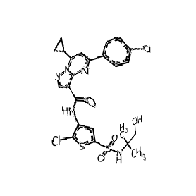 CC(C)(CO)NS(=O)(=O)c1cc(NC(=O)c2cnn3c(C4CC4)cc(-c4ccc(Cl)cc4)nc23)c(Cl)s1